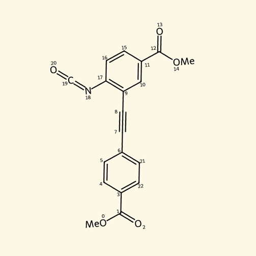 COC(=O)c1ccc(C#Cc2cc(C(=O)OC)ccc2N=C=O)cc1